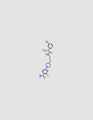 CCc1cccc(C(C(=O)NCCCC2CCN(c3ccc(C(=O)N(C)C)c(Cl)n3)CC2)C(F)(F)F)c1